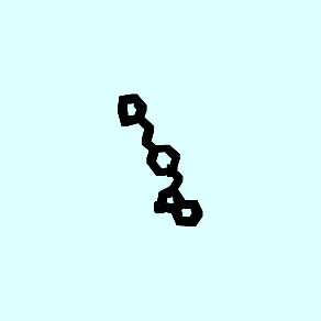 C1=C(/C=C/c2ccccc2)CCN(Cc2coc3ccccc23)C1